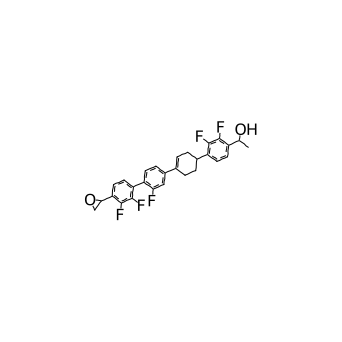 CC(O)c1ccc(C2CC=C(c3ccc(-c4ccc(C5CO5)c(F)c4F)c(F)c3)CC2)c(F)c1F